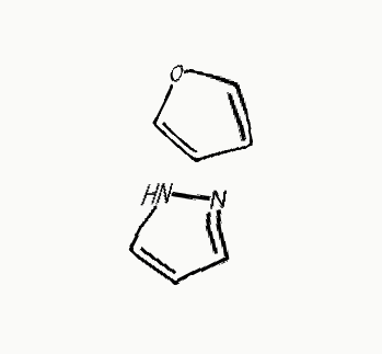 c1ccoc1.c1cn[nH]c1